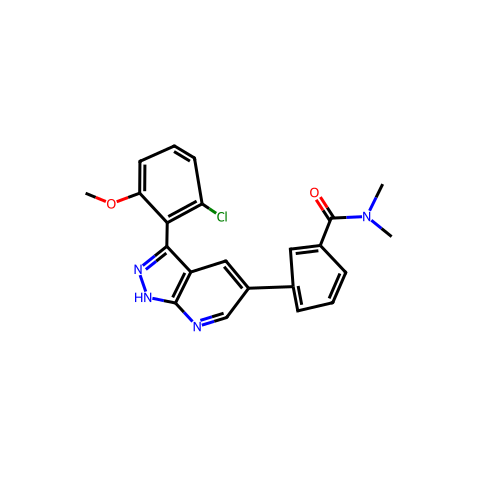 COc1cccc(Cl)c1-c1n[nH]c2ncc(-c3cccc(C(=O)N(C)C)c3)cc12